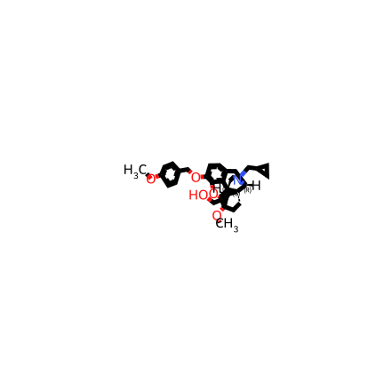 COc1ccc(COc2ccc3c4c2OC2C5(OC)CC[C@@]6(C[C@@H]5CO)[C@@H](C3)N(CC3CC3)CC[C@]426)cc1